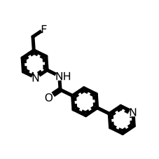 O=C(Nc1cc(CF)ccn1)c1ccc(-c2cccnc2)cc1